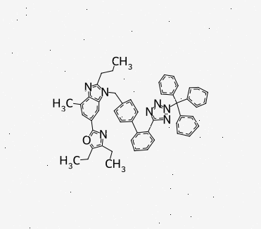 CCCc1nc2c(C)cc(-c3nc(CC)c(CC)o3)cc2n1Cc1ccc(-c2ccccc2-c2nnn(C(c3ccccc3)(c3ccccc3)c3ccccc3)n2)cc1